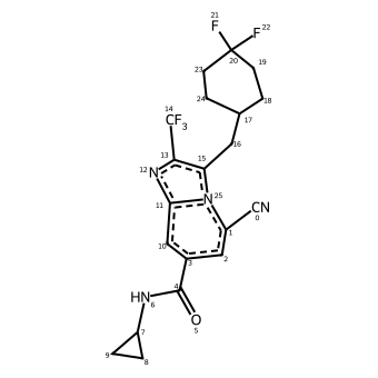 N#Cc1cc(C(=O)NC2CC2)cc2nc(C(F)(F)F)c(CC3CCC(F)(F)CC3)n12